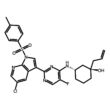 C=CC[C@]1(O)CCC[C@H](Nc2nc(-c3cn(S(=O)(=O)c4ccc(C)cc4)c4ncc(Cl)cc34)ncc2F)C1